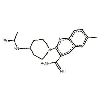 CC(=O)NC(=N)c1cc2cc(C)ccc2nc1N1CCC(N[C@H](C)C(C)C)CC1